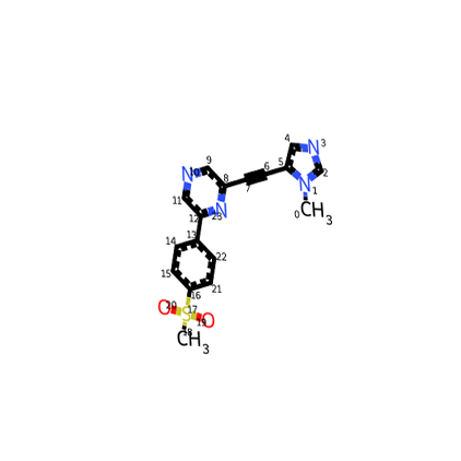 Cn1cncc1C#Cc1cncc(-c2ccc(S(C)(=O)=O)cc2)n1